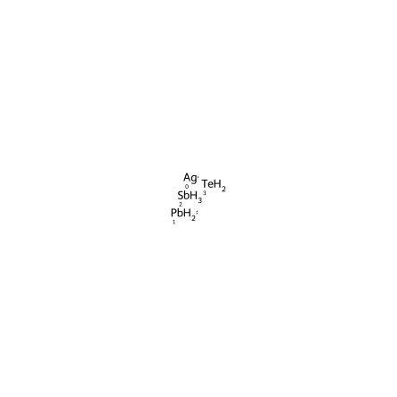 [Ag].[PbH2].[SbH3].[TeH2]